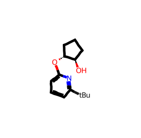 CC(C)(C)c1cccc(O[C@@H]2CCC[C@H]2O)n1